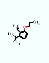 C=Cc1c(OCCC)cccc1[C](C)C